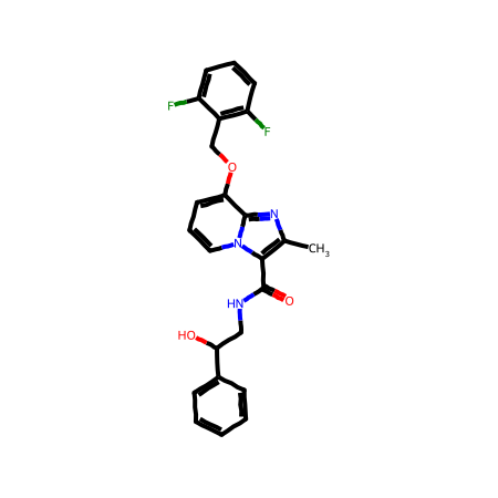 Cc1nc2c(OCc3c(F)cccc3F)cccn2c1C(=O)NCC(O)c1ccccc1